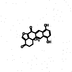 CC12CCC(=O)c3coc(c31)C(=O)c1cc3c(O)ccc(O)c3cc12